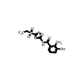 Cc1c(O)cccc1C(=O)Nc1nc(S(=O)(=O)CC(F)(F)F)no1